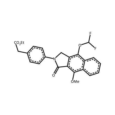 CCOC(=O)Cc1ccc(N2Cc3c(c(OC)c4ccccc4c3OC(F)F)C2=O)cc1